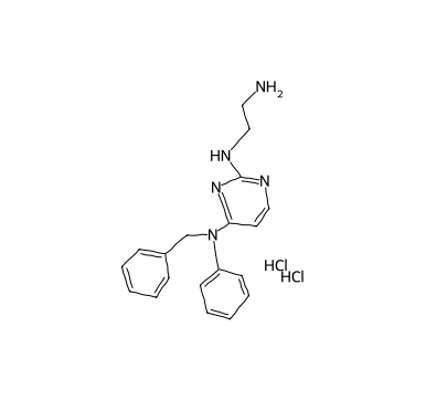 Cl.Cl.NCCNc1nccc(N(Cc2ccccc2)c2ccccc2)n1